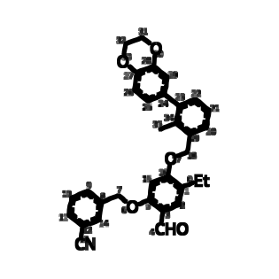 CCc1cc(C=O)c(OCc2cccc(C#N)c2)cc1OCc1cccc(-c2ccc3c(c2)OCCO3)c1C